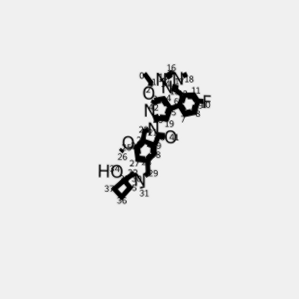 CCOc1cc(-c2ccc(F)cc2-c2nncn2C)cc(N2Cc3c(OC)cc(CN(C)CC4(O)CCC4)cc3C2=O)n1